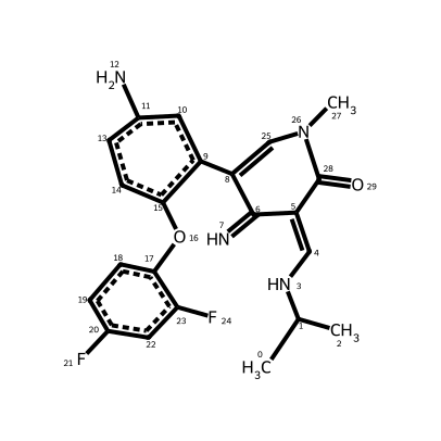 CC(C)N/C=C1\C(=N)C(c2cc(N)ccc2Oc2ccc(F)cc2F)=CN(C)C1=O